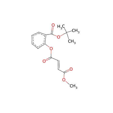 COC(=O)/C=C/C(=O)Oc1ccccc1C(=O)OC(C)(C)C